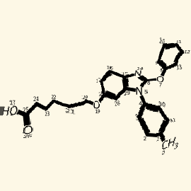 Cc1ccc(-n2c(Oc3ccccc3)nc3ccc(OCCCCCC(=O)O)cc32)cc1